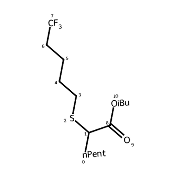 CCCCCC(SCCCCC(F)(F)F)C(=O)OCC(C)C